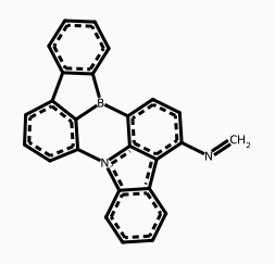 C=Nc1ccc2c3c1c1ccccc1n3-c1cccc3c1B2c1ccccc1-3